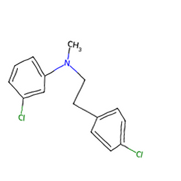 CN(CCc1ccc(Cl)cc1)c1cccc(Cl)c1